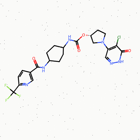 O=C(NC1CCC(NC(=O)c2ccc(C(F)(F)F)nc2)CC1)O[C@@H]1CCN(c2cn[nH]c(=O)c2Cl)C1